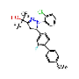 CSc1ccc(-c2ccc(C3CC(C(O)(C(F)(F)F)C(F)(F)F)=NN3c3ccccc3Cl)cc2F)cc1